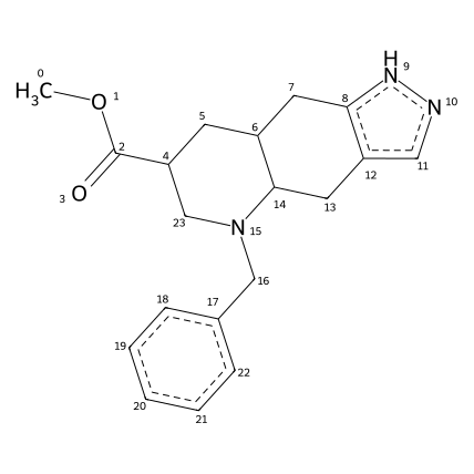 COC(=O)C1CC2Cc3[nH]ncc3CC2N(Cc2ccccc2)C1